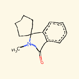 CN1C(=O)c2ccccc2C12CCCC2